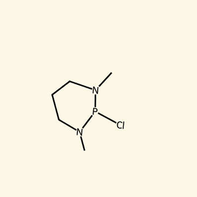 CN1CCCN(C)P1Cl